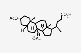 CC(=O)O[C@@H]1CC[C@@]2(C)[C@@H](C1)C[C@@H](OC(C)=O)[C@@H]1[C@@H]2CC[C@]2(C)[C@@H]([C@H](C)CCC(=O)O)CC[C@@H]12